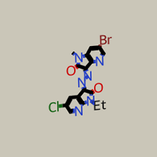 CCN1C(=O)/C(=N\N=C2C(=O)N(C)c3cc(Br)cnc32)c2cc(Cl)cnc21